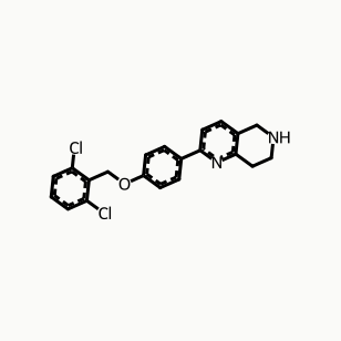 Clc1cccc(Cl)c1COc1ccc(-c2ccc3c(n2)CCNC3)cc1